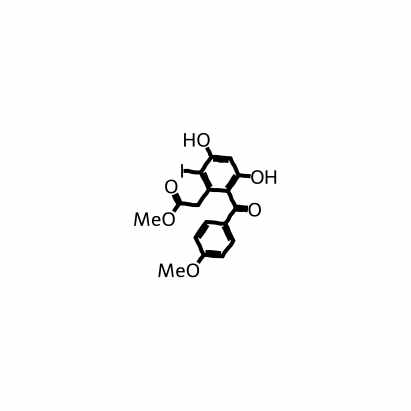 COC(=O)Cc1c(I)c(O)cc(O)c1C(=O)c1ccc(OC)cc1